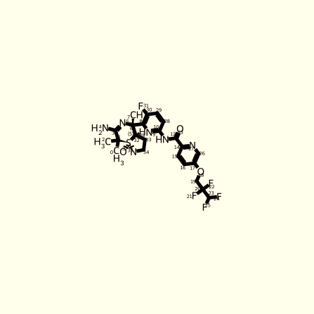 CC1(C)C(N)=N[C@](C)(c2nc(NC(=O)c3ccc(OCC(F)(F)C(F)F)cn3)ccc2F)[C@@H]2CCN=[S@]21=O